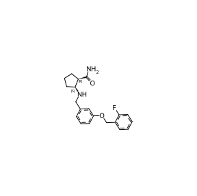 NC(=O)[C@@H]1CCC[C@@H]1NCc1cccc(OCc2ccccc2F)c1